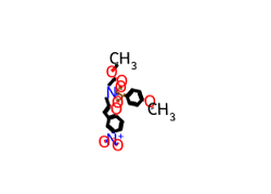 CCOC(=O)CN(Cc1cc2cc([N+](=O)[O-])ccc2o1)S(=O)(=O)c1ccc(OC)cc1